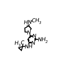 CN[C@@H]1CCN(c2cc(NC3(C)CC3)nc(N)n2)C1